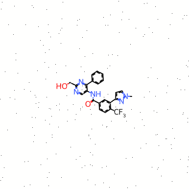 Cn1ccc(-c2cc(C(=O)Nc3cnc(CO)nc3-c3ccccc3)ccc2C(F)(F)F)n1